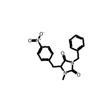 CN1C(=O)N(Cc2ccccc2)C(=O)C1Cc1ccc([N+](=O)[O-])cc1